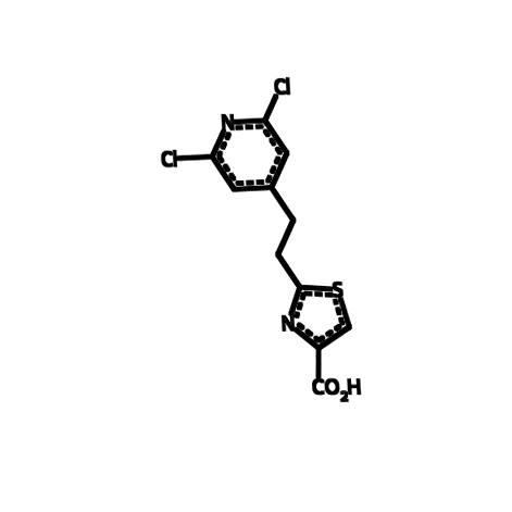 O=C(O)c1csc(CCc2cc(Cl)nc(Cl)c2)n1